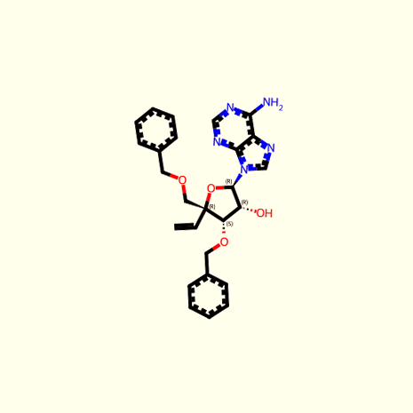 C=C[C@]1(COCc2ccccc2)O[C@@H](n2cnc3c(N)ncnc32)[C@H](O)[C@@H]1OCc1ccccc1